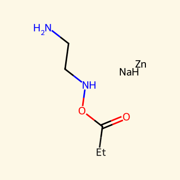 CCC(=O)ONCCN.[NaH].[Zn]